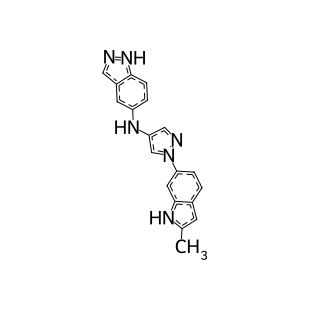 Cc1cc2ccc(-n3cc(Nc4ccc5[nH]ncc5c4)cn3)cc2[nH]1